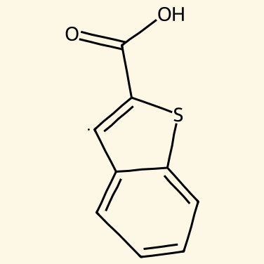 O=C(O)c1[c]c2ccccc2s1